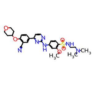 COc1cc(Nc2nccc(-c3ccc(OC4CCOCC4)c(C#N)c3)n2)ccc1S(=O)(=O)NCCN(C)C